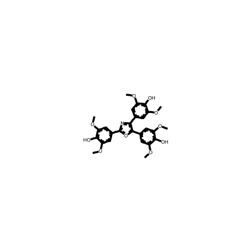 COc1cc(-c2nc(-c3cc(OC)c(O)c(OC)c3)c(-c3cc(OC)c(O)c(OC)c3)o2)cc(OC)c1O